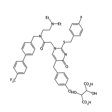 CCN(CC)CCN(Cc1ccc(-c2ccc(C(F)(F)F)cc2)cc1)C(=O)Cn1cc(Cc2ccc(Cl)cc2)c(=O)nc1SCc1ccc(F)cc1.O=C(O)C(O)C(O)C(=O)O